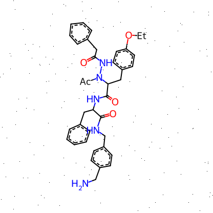 CCOc1ccc(CC(C(=O)NC(Cc2ccccc2)C(=O)NCc2ccc(CN)cc2)N(NC(=O)Cc2ccccc2)C(C)=O)cc1